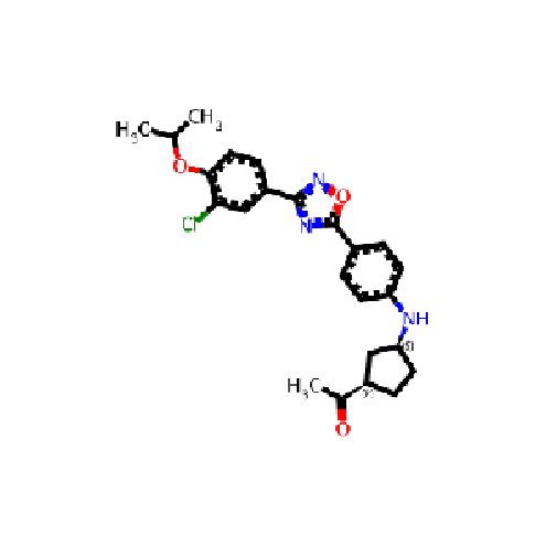 CC(=O)[C@@H]1CC[C@H](Nc2ccc(-c3nc(-c4ccc(OC(C)C)c(Cl)c4)no3)cc2)C1